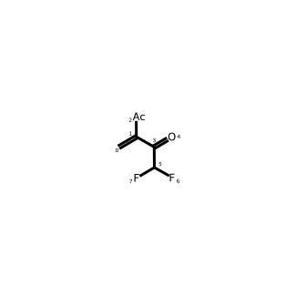 C=C(C(C)=O)C(=O)C(F)F